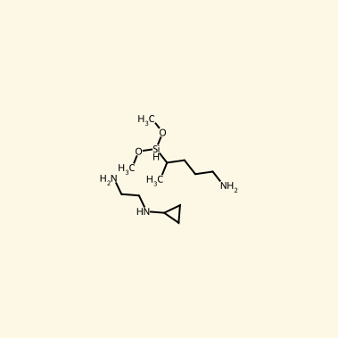 CO[SiH](OC)C(C)CCCN.NCCNC1CC1